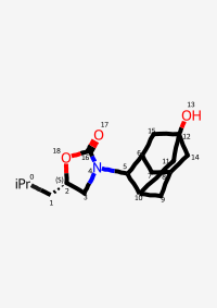 CC(C)C[C@H]1CN(C2C3CC4CC2CC(O)(C4)C3)C(=O)O1